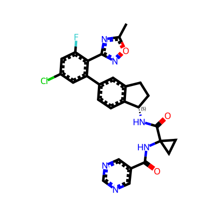 Cc1nc(-c2c(F)cc(Cl)cc2-c2ccc3c(c2)CC[C@@H]3NC(=O)C2(NC(=O)c3cncnc3)CC2)no1